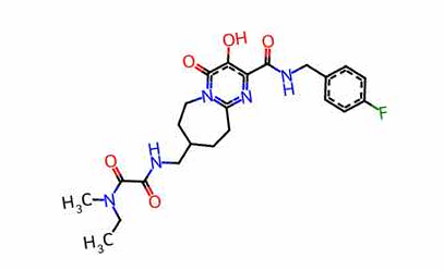 CCN(C)C(=O)C(=O)NCC1CCc2nc(C(=O)NCc3ccc(F)cc3)c(O)c(=O)n2CC1